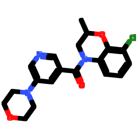 CC1CN(C(=O)c2cncc(N3CCOCC3)c2)c2cccc(Cl)c2O1